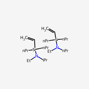 C=C[Si](CCC)(CCC)N(CC)C(C)C.C=C[Si](CCC)(CCC)N(CC)CCC